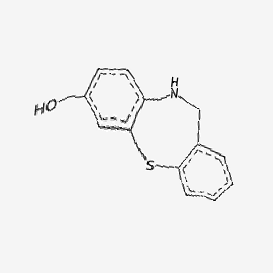 Oc1ccc2c(c1)Sc1ccccc1CN2